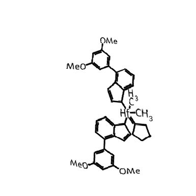 COc1cc(OC)cc(-c2cccc3c2C=C[CH]3[Hf]([CH3])([CH3])(=[C]2CCCC2)[CH]2C=Cc3c(-c4cc(OC)cc(OC)c4)cccc32)c1